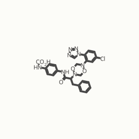 O=C(O)Nc1ccc(NC(=O)C(Cc2ccccc2)N2CON(c3cc(Cl)ccc3-n3cnnn3)CO2)cc1